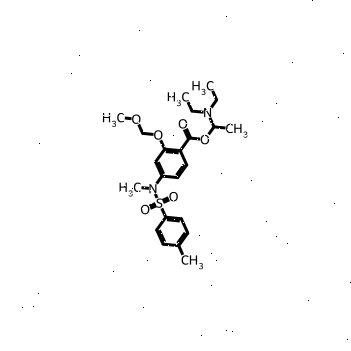 CCN(CC)C(C)OC(=O)c1ccc(N(C)S(=O)(=O)c2ccc(C)cc2)cc1OCOC